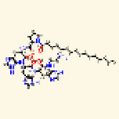 CCCCCCCCCCCCCCCC(=O)N1CCCC1C(=O)NC(Cc1c[nH]cn1)C(=O)NC(Cc1c[nH]cn1)C(=O)NC(Cc1c[nH]cn1)C(=O)NCCN